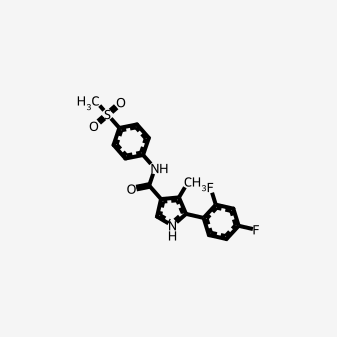 Cc1c(C(=O)Nc2ccc(S(C)(=O)=O)cc2)c[nH]c1-c1ccc(F)cc1F